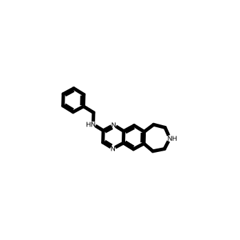 c1ccc(CNc2cnc3cc4c(cc3n2)CCNCC4)cc1